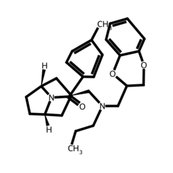 CCCN(CC1COc2ccccc2O1)C[C@@H]1C[C@H]2CC[C@@H](C1)N2C(=O)c1ccc(C)cc1